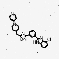 Clc1cccc2[nH]c(-c3cccc(-c4noc(CC5CCN(c6ccncc6)CC5)n4)c3)nc12